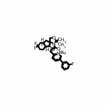 CC(C)(C)OC(=O)N1C(C)(C)OCC12C[C@@H]1CC(F)(F)CC[C@H]1[C@@H]2/C=C/c1ccc(-c2cccc(F)c2)cn1